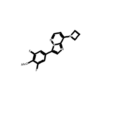 COc1c(F)cc(-c2[c]nc3c(N4CCC4)ccnn23)cc1F